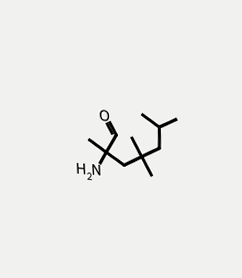 CC(C)CC(C)(C)CC(C)(N)C=O